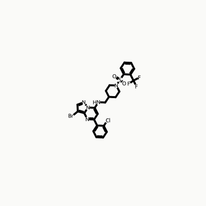 O=S(=O)(c1ccccc1C(F)(F)F)N1CCC(CNc2cc(-c3ccccc3Cl)nc3c(Br)cnn23)CC1